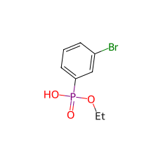 CCOP(=O)(O)c1cccc(Br)c1